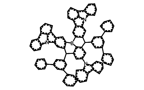 c1ccc(-c2cc(-c3ccccc3)cc(C3c4cc5c(cc4B4c6cc7c8cccc9c%10ccccc%10n(c7cc6C(c6cc(-c7ccccc7)cc(-c7ccccc7)c6)c6cc(-n7c%10ccccc%10c%10ccccc%107)cc3c64)c98)c3cccc4c6ccccc6n5c43)c2)cc1